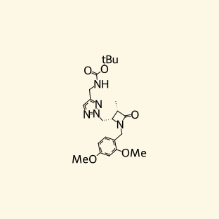 COc1ccc(CN2C(=O)[C@@H](C)[C@H]2Cn2ncc(CNC(=O)OC(C)(C)C)n2)c(OC)c1